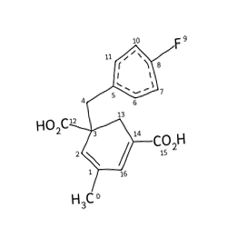 CC1=CC(Cc2ccc(F)cc2)(C(=O)O)CC(C(=O)O)=C1